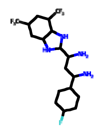 NC(CC(N)C1NC2CC(C(F)(F)F)CC(C(F)(F)F)C2N1)C1CCC(F)CC1